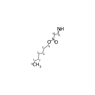 CCCCCCCOC(=O)CC=N